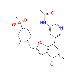 CC(=O)Nc1cncc(-c2cn(C)c(=O)c3cc(CN4CCN(S(C)(=O)=O)CC4C)oc23)c1